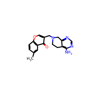 Cc1ccc2occ(CN3CCc4c(N)ncnc4C3)c(=O)c2c1